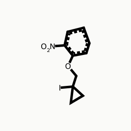 O=[N+]([O-])c1ccccc1OCC1(I)CC1